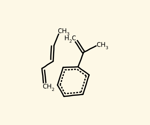 C=C(C)c1ccccc1.C=CC=CC